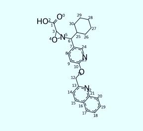 O=C(O)C1ON1C(c1ccc(OCc2ccc3ccccc3n2)nc1)C1CCCCC1